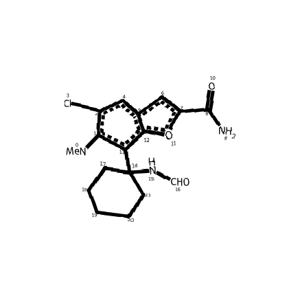 CNc1c(Cl)cc2cc(C(N)=O)oc2c1C1(NC=O)CCCCC1